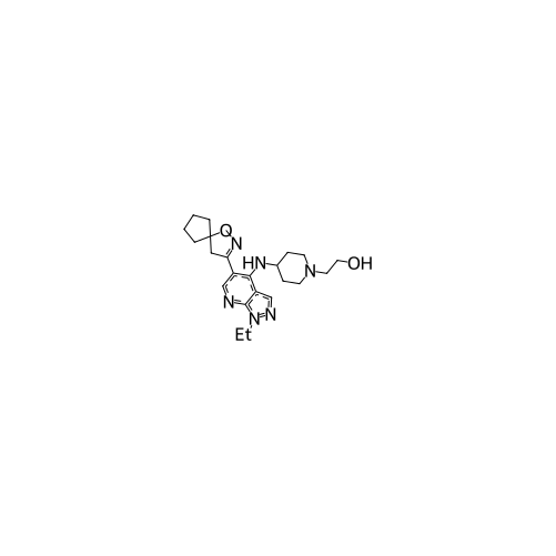 CCn1ncc2c(NC3CCN(CCO)CC3)c(C3=NOC4(CCCC4)C3)cnc21